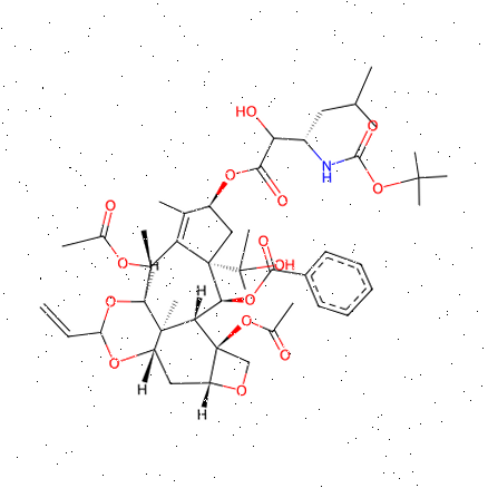 C=CC1O[C@H]2C[C@H]3OC[C@@]3(OC(C)=O)[C@H]3[C@H](OC(=O)c4ccccc4)[C@]4(C(C)(C)O)C[C@H](OC(=O)C(O)[C@H](CC(C)C)NC(=O)OC(C)(C)C)C(C)=C4[C@@](C)(OC(C)=O)[C@H](O1)[C@]23C